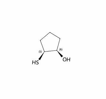 O[C@@H]1CCC[C@@H]1S